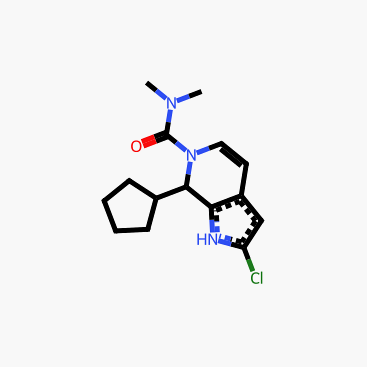 CN(C)C(=O)N1C=Cc2cc(Cl)[nH]c2C1C1CCCC1